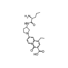 CCC[C@H](N)C(=O)NC1CCN(c2ccn3c(=O)c(C(=O)O)cc(CC)c3c2)C1